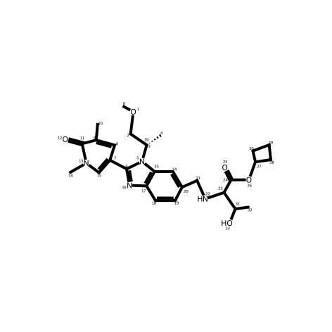 COC[C@H](C)n1c(-c2cc(C)c(=O)n(C)c2)nc2ccc(CNC(C(=O)OC3CCC3)C(C)O)cc21